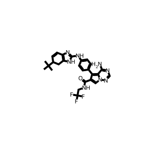 CC(C)(C)C1C=Cc2nc(Nc3ccc(-c4c(C(=O)NCC(F)(F)F)cn5ncnc(N)c45)cc3)[nH]c2C1